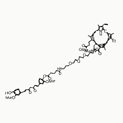 C=Cc1c(C)c2cc3nc(c(CC(=O)OC)c4[nH]c(cc5nc(cc1[nH]2)C(C)=C5CC)c(C)c4C(=O)NCCCOCCOCCOCCCNC(=O)CCCC(=O)Oc1ccc(/C=C/C(=O)CC(=O)/C=C/c2ccc(O)c(OC)c2)cc1OC)C(CCC(=O)OC)C3C